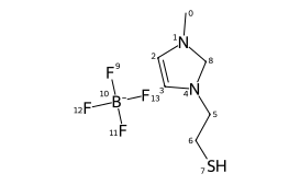 CN1C=CN(CCS)C1.F[B-](F)(F)F